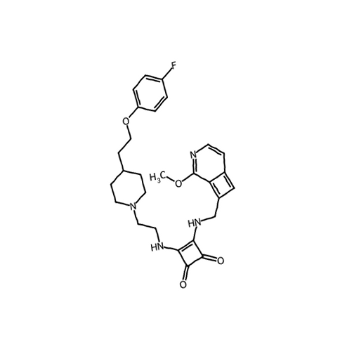 COc1nccc2c1=C(CNc1c(NCCN3CCC(CCOc4ccc(F)cc4)CC3)c(=O)c1=O)C=2